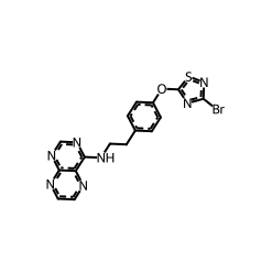 Brc1nsc(Oc2ccc(CCNc3ncnc4nccnc34)cc2)n1